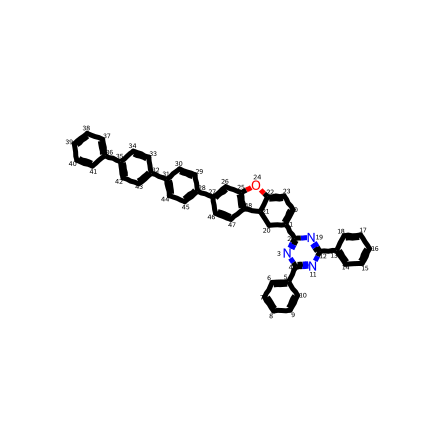 C1=C(c2nc(-c3ccccc3)nc(-c3ccccc3)n2)CC2C(=C1)Oc1cc(-c3ccc(-c4ccc(-c5ccccc5)cc4)cc3)ccc12